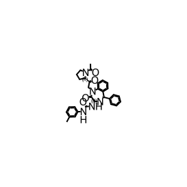 CC(=O)N1CCC[C@@H]1C(=O)CN1C(=O)[C@H](NC(=O)Nc2cccc(C)c2)N=C(c2ccccc2)c2ccccc21